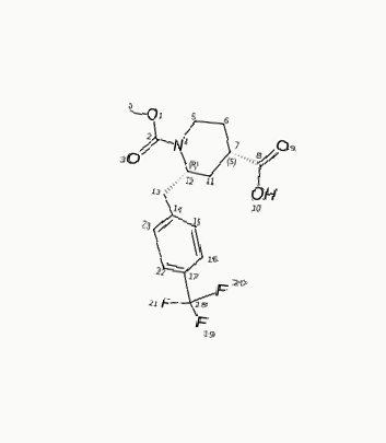 COC(=O)N1CC[C@H](C(=O)O)C[C@@H]1Cc1ccc(C(F)(F)F)cc1